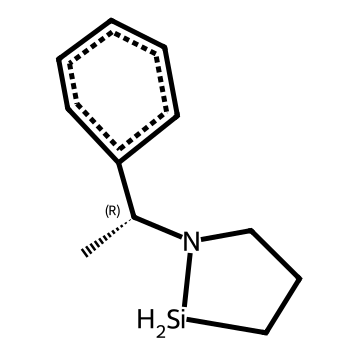 C[C@H](c1ccccc1)N1CCC[SiH2]1